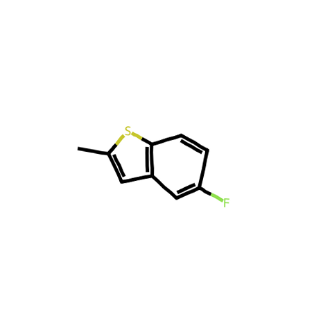 Cc1cc2cc(F)ccc2s1